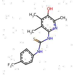 Cc1nc(NC(=S)Nc2ccc(C(F)(F)F)cc2)c(C)c(C)c1O